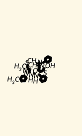 CSC(C)(C)c1cc(NC(=O)NCc2ccccc2Sc2ccc3nnc(-c4ccccc4O)n3c2)n(-c2cccc(C)c2)n1